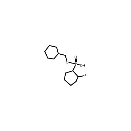 O=P(O)(OCC1CCCCC1)C1CCCCC1F